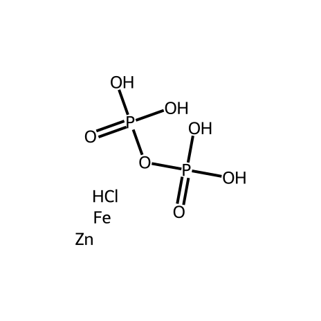 Cl.O=P(O)(O)OP(=O)(O)O.[Fe].[Zn]